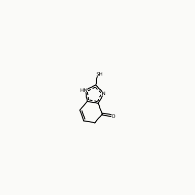 O=C1CC=Cc2[nH]c(S)nc21